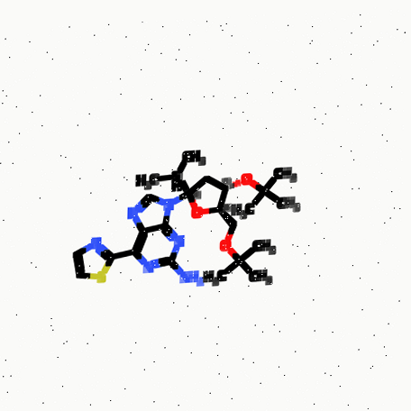 C[SiH](C)[C@@]1(n2cnc3c(-c4nccs4)nc(N)nc32)C[C@H](OC(C)(C)C)[C@@H](COC(C)(C)C)O1